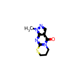 Cn1ncc2c(=O)n3c(nc21)SCCC3